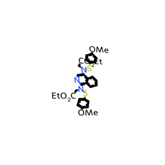 CCOC(=O)CN(Sc1ccc(OC)cc1)c1cnc(N(CC(=O)OCC)Sc2ccc(OC)cc2)c2ccccc12